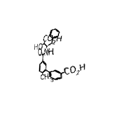 Cc1ccc(C(=O)N[C@H](Cc2ccccc2)[C@@H](O)C(=O)O)cc1-c1cccc(C(=O)O)c1